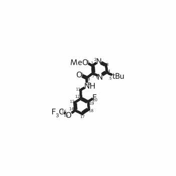 COc1ncc(C(C)(C)C)nc1C(=O)NCc1cc(OC(F)(F)F)ccc1F